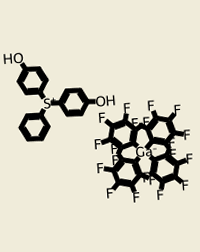 Fc1c(F)c(F)[c]([Ga-]([c]2c(F)c(F)c(F)c(F)c2F)([c]2c(F)c(F)c(F)c(F)c2F)[c]2c(F)c(F)c(F)c(F)c2F)c(F)c1F.Oc1ccc([S+](c2ccccc2)c2ccc(O)cc2)cc1